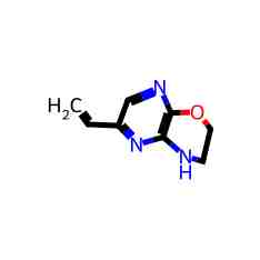 C=Cc1cnc2c(n1)NCCO2